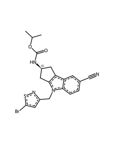 CC(C)OC(=O)N[C@H]1Cc2c(n(Cc3cc(Br)sn3)c3ccc(C#N)cc23)C1